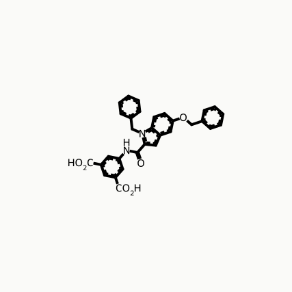 O=C(O)c1cc(NC(=O)c2cc3cc(OCc4ccccc4)ccc3n2Cc2ccccc2)cc(C(=O)O)c1